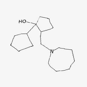 OC1(C2CCCC2)CCCC1CN1CCCCCC1